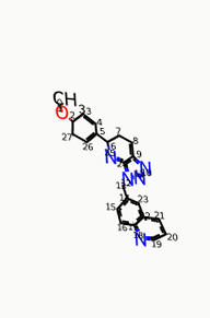 COC1C=CC(C2CC=c3nnn(Cc4ccc5ncccc5c4)c3=N2)=CC1